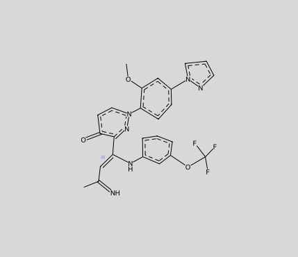 COc1cc(-n2cccn2)ccc1-n1ccc(=O)c(/C(=C/C(C)=N)Nc2cccc(OC(F)(F)F)c2)n1